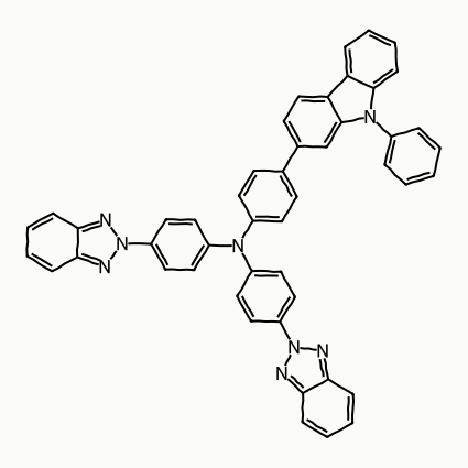 c1ccc(-n2c3ccccc3c3ccc(-c4ccc(N(c5ccc(-n6nc7ccccc7n6)cc5)c5ccc(-n6nc7ccccc7n6)cc5)cc4)cc32)cc1